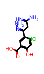 Cl.N=C(N)CC(=NN)c1ccc(O)c(C(=O)O)c1